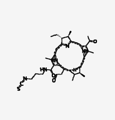 CC[C@H]1c2cc3[nH]c(c(CC=O)c4nc(cc5[nH]c(cc(n2)[C@@H]1C)c(C(C)=O)c5C)[C@@H](C)C4C)c(C(=O)NCCCN=C=S)c3C